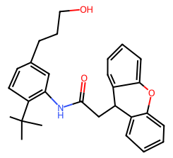 CC(C)(C)c1ccc(CCCO)cc1NC(=O)CC1c2ccccc2Oc2ccccc21